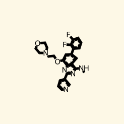 CNc1nc(-c2cccnc2)nc2c(OCCN3CCOCC3)cc(-c3cccc(F)c3F)cc12